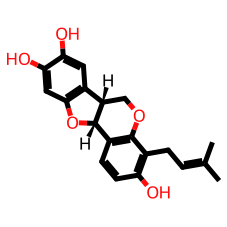 CC(C)=CCc1c(O)ccc2c1OC[C@H]1c3cc(O)c(O)cc3O[C@@H]21